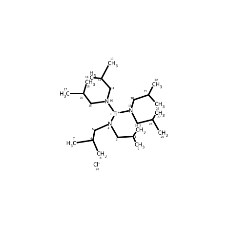 CC(C)C[N](CC(C)C)[Ti+]([N](CC(C)C)CC(C)C)[N](CC(C)C)CC(C)C.[Cl-]